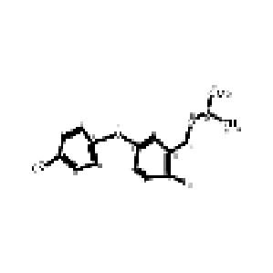 [C-]#[N+]c1ccc(Oc2ccc(I)c(COB(C)OC)c2)cc1